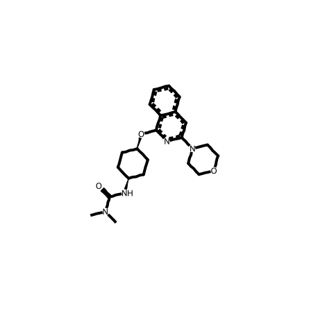 CN(C)C(=O)N[C@H]1CC[C@@H](Oc2nc(N3CCOCC3)cc3ccccc23)CC1